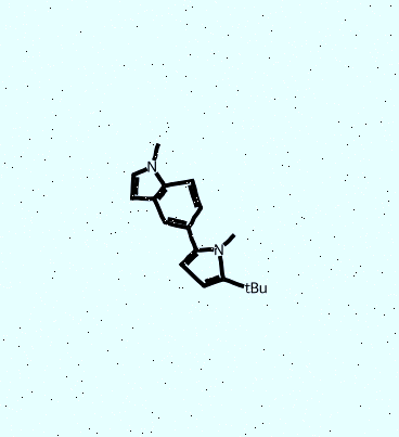 Cn1c(-c2ccc3c(ccn3C)c2)ccc1C(C)(C)C